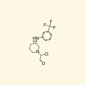 O=CC(Cl)N1CCC[C@@H](Nc2cccc(C(F)(F)F)c2)C1